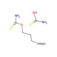 CCCCCCCCCCOC(N)=S.NC(O)=S